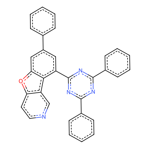 c1ccc(-c2cc(-c3nc(-c4ccccc4)nc(-c4ccccc4)n3)c3c(c2)oc2ccncc23)cc1